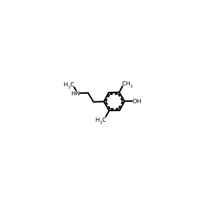 CNCCc1cc(C)c(O)cc1C